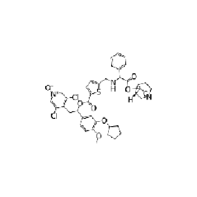 COc1ccc(C(Cc2c(Cl)c[n+]([O-])cc2Cl)OC(=O)c2ccc(CNC(C(=O)O[C@H]3CN4CCC3CC4)c3ccccc3)s2)cc1OC1CCCC1